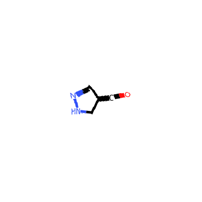 O=C=C1[C]=NNC1